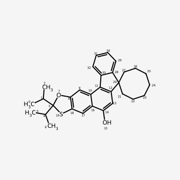 CC(C)C1(C(C)C)Oc2cc3c4c(cc(O)c3cc2S1)C1(CCCCCCC1)c1ccccc1-4